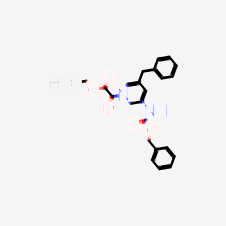 CCOC(=O)C(=O)N1C=C(Cc2ccccc2)C=C(NC(=O)OCc2ccccc2)C1